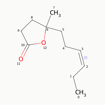 CC/C=C\CCC1(C)CCC(=O)O1